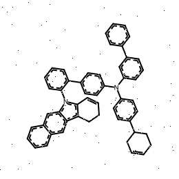 C1=Cc2c(c3cc4ccccc4cc3n2-c2ccccc2-c2ccc(N(c3ccc(C4CC=CCC4)cc3)c3cccc(-c4ccccc4)c3)cc2)CC1